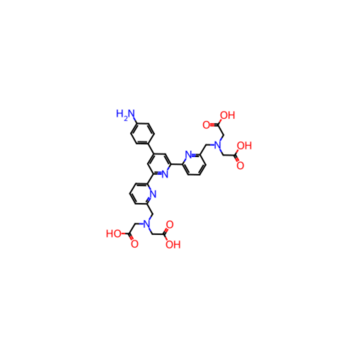 Nc1ccc(-c2cc(-c3cccc(CN(CC(=O)O)CC(=O)O)n3)nc(-c3cccc(CN(CC(=O)O)CC(=O)O)n3)c2)cc1